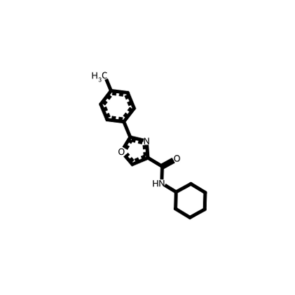 Cc1ccc(-c2nc(C(=O)NC3CCCCC3)co2)cc1